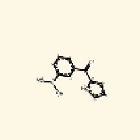 O=C(c1cccc(B(O)O)c1)c1ccc[nH]1